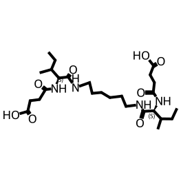 CCC(C)[C@H](NC(=O)CCC(=O)O)C(=O)NCCCCCCNC(=O)[C@@H](NC(=O)CCC(=O)O)C(C)CC